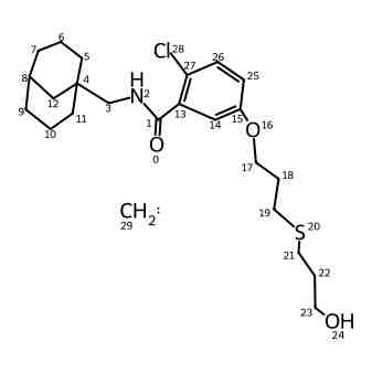 O=C(NCC12CCCC(CCC1)C2)c1cc(OCCCSCCCO)ccc1Cl.[CH2]